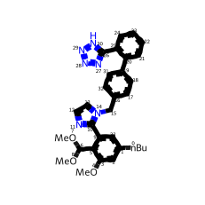 CCCCc1cc(OC)c(C(OC)OC)c(-c2nccn2Cc2ccc(-c3ccccc3-c3nnn[nH]3)cc2)c1